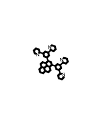 c1ccc(-c2cc(-c3ccccn3)cc(-c3cc(-c4cc(-c5ccccn5)cc(-c5ccccn5)c4)c4ccc5cccc6ccc3c4c65)c2)nc1